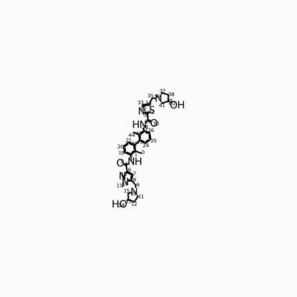 Cc1c(NC(=O)c2cc(CN3CCC(O)C3)n(C)n2)cccc1-c1cccc(NC(=O)c2ncc(CN3CCC(O)C3)s2)c1C